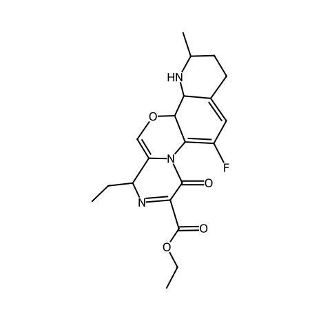 CCOC(=O)C1=NC(CC)C2=COC3C(=C(F)C=C4CCC(C)NC43)N2C1=O